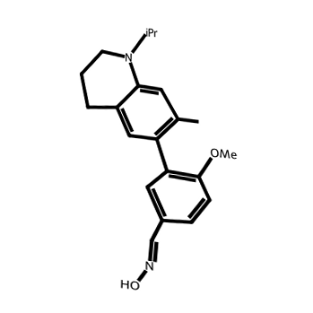 COc1ccc(/C=N/O)cc1-c1cc2c(cc1C)N(C(C)C)CCC2